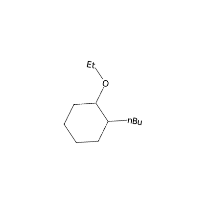 CCCCC1CCCCC1OCC